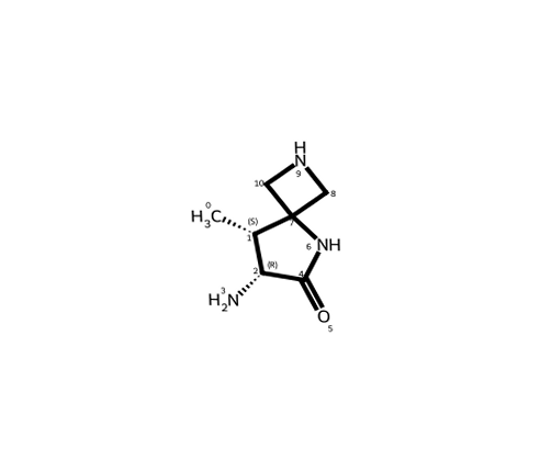 C[C@H]1[C@@H](N)C(=O)NC12CNC2